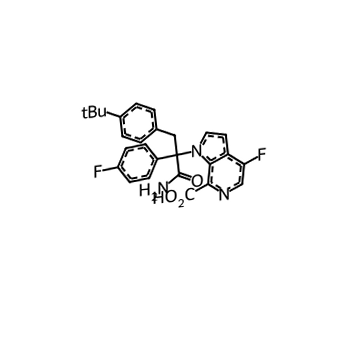 CC(C)(C)c1ccc(CC(C(N)=O)(c2ccc(F)cc2)n2ccc3c(F)cnc(C(=O)O)c32)cc1